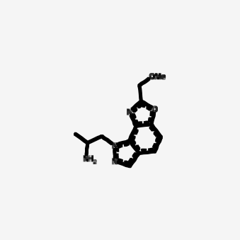 COCc1nc2c(ccc3cnn(CC(C)N)c32)o1